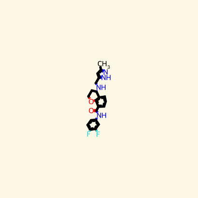 Cc1cc(CN[C@H]2CCOc3c(C(=O)Nc4ccc(F)c(F)c4)cccc32)[nH]n1